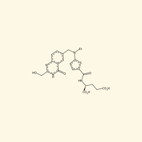 CCN(Cc1ccc2nc(CO)[nH]c(=O)c2c1)c1ccc(C(=O)N[C@@H](CCC(=O)O)C(=O)O)s1